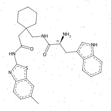 Cc1ccc2nc(NC(=O)CC3(CNC(=O)[C@@H](N)Cc4c[nH]c5ccccc45)CCCCC3)sc2c1